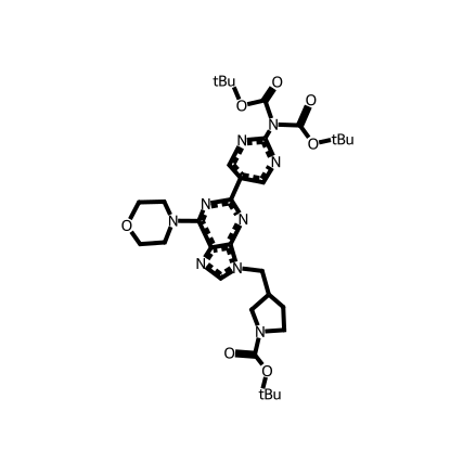 CC(C)(C)OC(=O)N1CCC(Cn2cnc3c(N4CCOCC4)nc(-c4cnc(N(C(=O)OC(C)(C)C)C(=O)OC(C)(C)C)nc4)nc32)C1